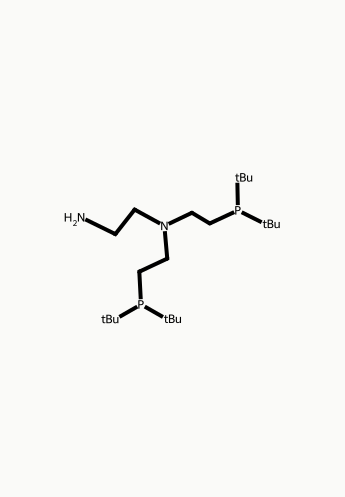 CC(C)(C)P(CCN(CCN)CCP(C(C)(C)C)C(C)(C)C)C(C)(C)C